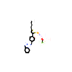 CCCCc1cc(-c2ccc(Cn3ncc4ccccc43)cc2)c(S(N)(=O)=O)s1.O=C(O)C(F)(F)F